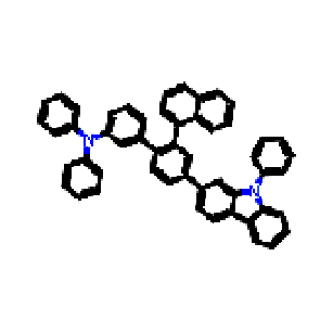 c1ccc(N(c2ccccc2)c2cccc(-c3ccc(-c4ccc5c6ccccc6n(-c6ccccc6)c5c4)cc3-c3cccc4ccccc34)c2)cc1